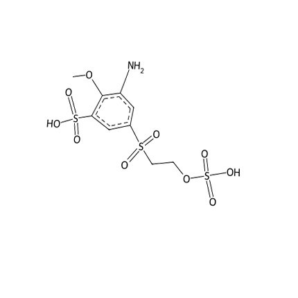 COc1c(N)cc(S(=O)(=O)CCOS(=O)(=O)O)cc1S(=O)(=O)O